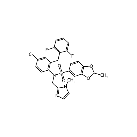 CC1Oc2ccc(S(=O)(=O)N(Cc3nccn3C)c3ccc(Cl)cc3Cc3c(F)cccc3F)cc2O1